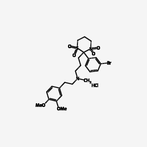 COc1ccc(CCN(C)CCCC2(c3cccc(Br)c3)S(=O)(=O)CCCS2(=O)=O)cc1OC.Cl